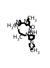 Cc1cc2cc(n1)-c1cnn(C)c1CCC[C@@H](C)CN1/C(=N/C2=O)Nc2ccc(N3CCN(C)CC3)cc21